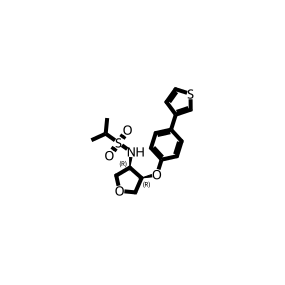 CC(C)S(=O)(=O)N[C@@H]1COC[C@@H]1Oc1ccc(-c2ccsc2)cc1